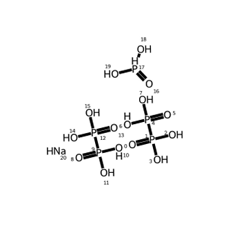 O=P(O)(O)P(=O)(O)O.O=P(O)(O)P(=O)(O)O.O=[PH](O)O.[NaH]